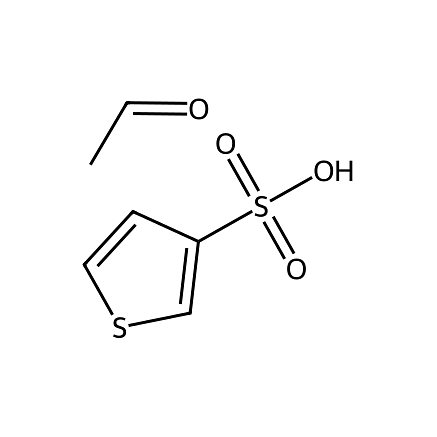 CC=O.O=S(=O)(O)c1ccsc1